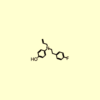 C=CCN(CCc1ccc(F)cc1)c1ccc(O)cc1